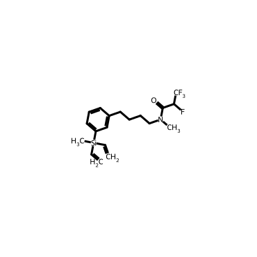 C=C[Si](C)(C=C)c1cccc(CCCCN(C)C(=O)C(F)C(F)(F)F)c1